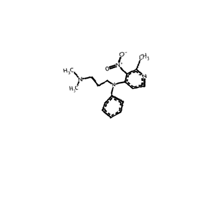 Cc1nccc(N(CCCN(C)C)c2ccccc2)c1[N+](=O)[O-]